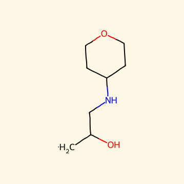 [CH2]C(O)CNC1CCOCC1